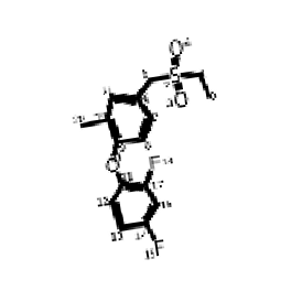 CCS(=O)(=O)Cc1ccc(Oc2ccc(F)cc2F)c(C)c1